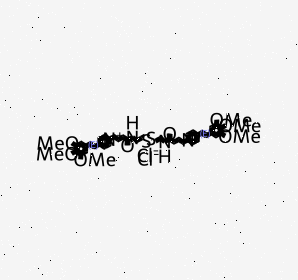 COc1cc(/C=C/c2cc[n+](CCCC(=O)NCCSSCCNC(=O)CCC[n+]3ccc(/C=C/c4cc(OC)c(OC)c(OC)c4)cc3)cc2)cc(OC)c1OC.[Cl-].[Cl-]